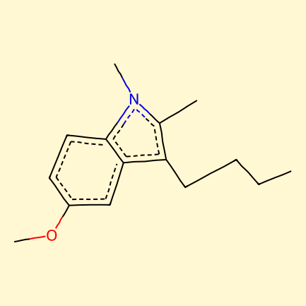 CCCCc1c(C)n(C)c2ccc(OC)cc12